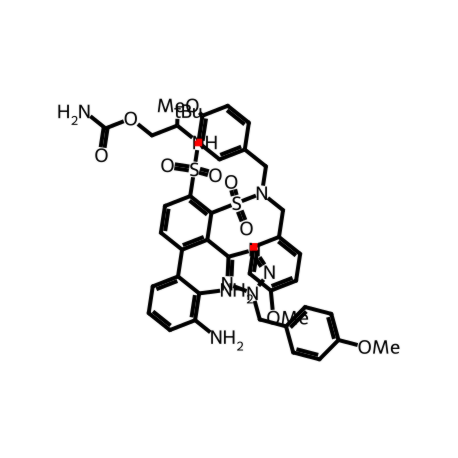 COc1ccc(CN(Cc2ccc(OC)cc2)S(=O)(=O)c2c(S(=O)(=O)NC(COC(N)=O)C(C)(C)C)ccc(-c3cccc(N)c3N)c2-c2nnn(Cc3ccc(OC)cc3)n2)cc1